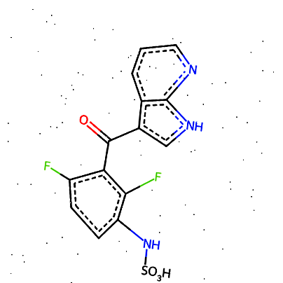 O=C(c1c(F)ccc(NS(=O)(=O)O)c1F)c1c[nH]c2ncccc12